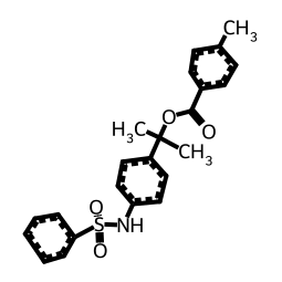 Cc1ccc(C(=O)OC(C)(C)c2ccc(NS(=O)(=O)c3ccccc3)cc2)cc1